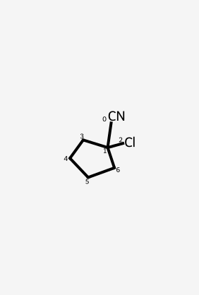 N#CC1(Cl)CCCC1